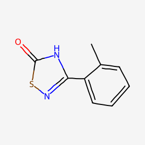 Cc1ccccc1-c1nsc(=O)[nH]1